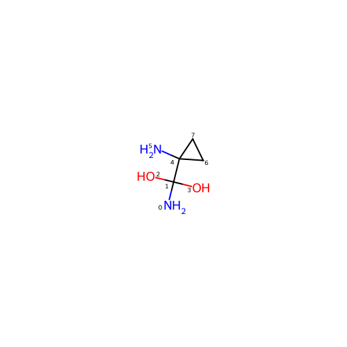 NC(O)(O)C1(N)CC1